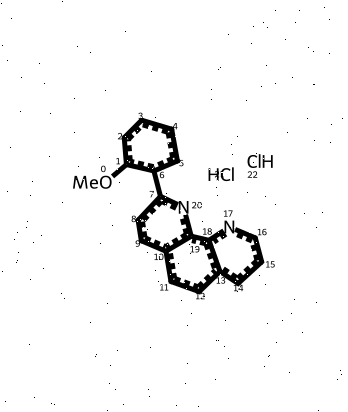 COc1ccccc1-c1ccc2ccc3cccnc3c2n1.Cl.Cl